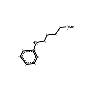 COCCCCNc1ccccc1